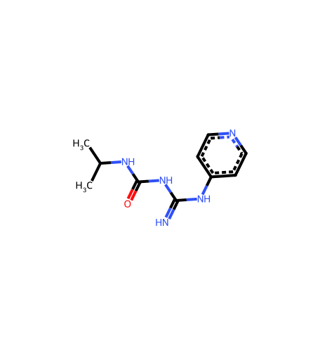 CC(C)NC(=O)NC(=N)Nc1ccncc1